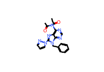 CC(=O)N(C(C)=O)c1ncnc2c1nc(-n1cccn1)n2Cc1ccccc1